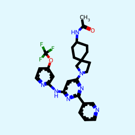 CC(=O)NC1CCC2(CC1)CCN(c1cc(Nc3cc(OC(F)(F)F)ccn3)nc(-c3cccnc3)n1)C2